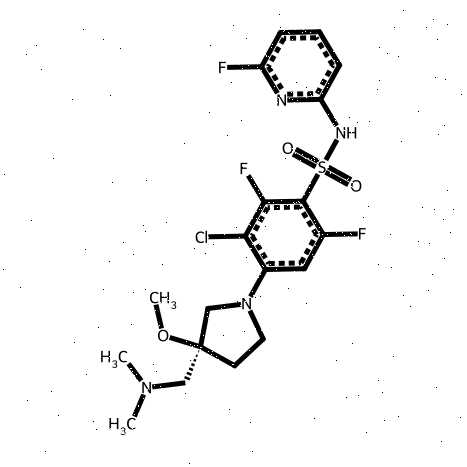 CO[C@]1(CN(C)C)CCN(c2cc(F)c(S(=O)(=O)Nc3cccc(F)n3)c(F)c2Cl)C1